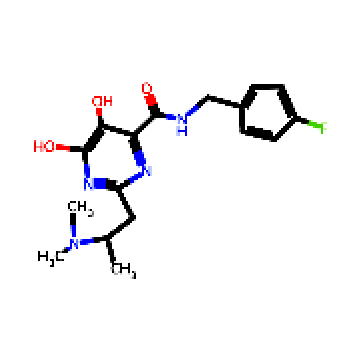 CC(Cc1nc(O)c(O)c(C(=O)NCc2ccc(F)cc2)n1)N(C)C